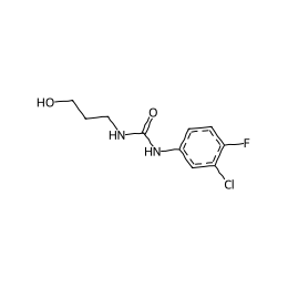 O=C(NCCCO)Nc1ccc(F)c(Cl)c1